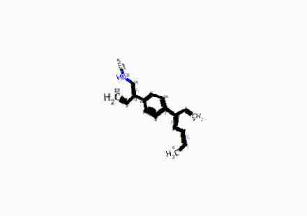 C=C/C(=C\C=C/C)c1ccc(/C(C=C)=C/NCC)cc1